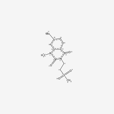 Cn1c(=O)n(CCS(C)(=O)=O)c(=O)c2ccc(C(C)(C)C)cc21